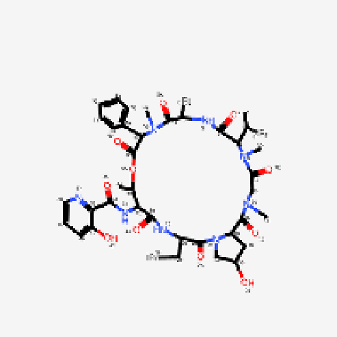 CCC1NC(=O)C(C(C)C(C)C)N(C)C(=O)CN(C)C(=O)C2CC(O)CN2C(=O)C(CC(C)C)NC(=O)C(NC(=O)c2ncccc2O)C(C)OC(=O)C(c2ccccc2)N(C)C1=O